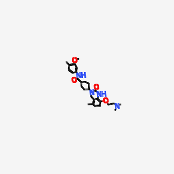 COc1cc(NC(=O)C2CCC(N3Cc4c(C)ccc(OCCN(C)C)c4NC3=O)CC2)ccc1C